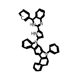 C1=CC(C2NC(c3ccc(-n4c5ccccc5c5cc6c7c8ccccc8ccc7n(-c7ccccc7)c6cc54)[nH]3)=Nc3ccccc32)=CCC1